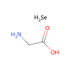 NCC(=O)O.[SeH2]